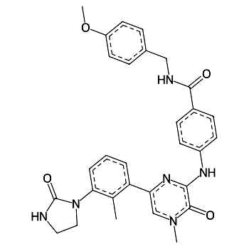 COc1ccc(CNC(=O)c2ccc(Nc3nc(-c4cccc(N5CCNC5=O)c4C)cn(C)c3=O)cc2)cc1